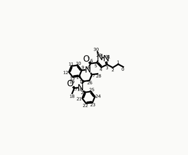 CCCc1cc(C(=O)N2c3ccccc3C(N(C(C)=O)c3ccccc3)CC2C)n(C)n1